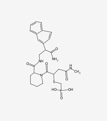 CNC(=O)CC(SCP(=O)(O)O)C(=O)N1CCCCC1C(=O)NCC(C(N)=O)c1ccc2ccccc2c1